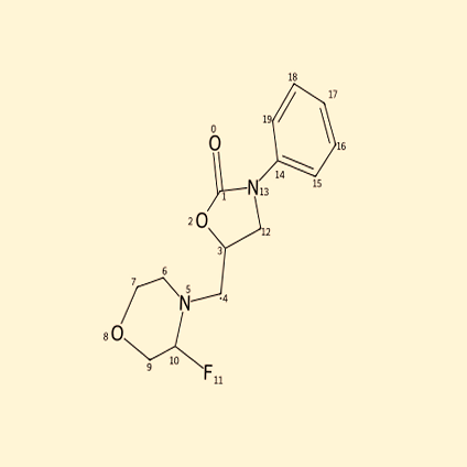 O=C1OC([CH]N2CCOCC2F)CN1c1ccccc1